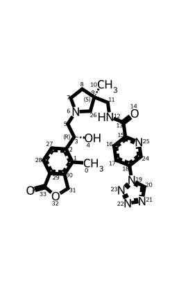 Cc1c([C@@H](O)CN2CC[C@@](C)(CNC(=O)c3ccc(-n4cnnn4)cn3)C2)ccc2c1COC2=O